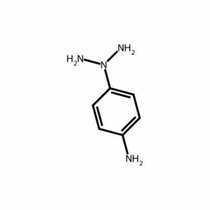 Nc1ccc(N(N)N)cc1